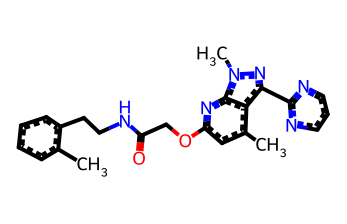 Cc1ccccc1CCNC(=O)COc1cc(C)c2c(-c3ncccn3)nn(C)c2n1